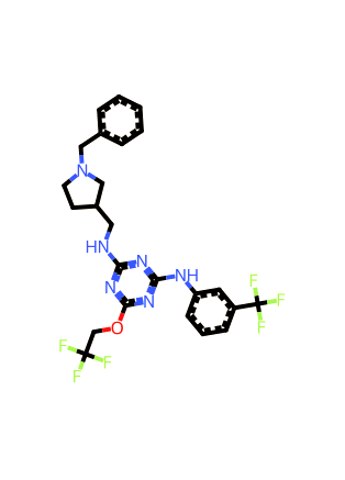 FC(F)(F)COc1nc(NCC2CCN(Cc3ccccc3)C2)nc(Nc2cccc(C(F)(F)F)c2)n1